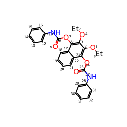 CCOc1c(OCC)c(OC(=O)Nc2ccccc2)c2ccccc2c1OC(=O)Nc1ccccc1